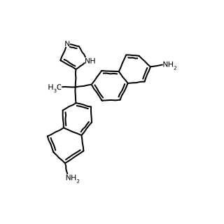 CC(c1ccc2cc(N)ccc2c1)(c1ccc2cc(N)ccc2c1)c1cnc[nH]1